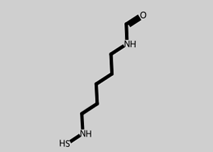 O=CNCCCCCNS